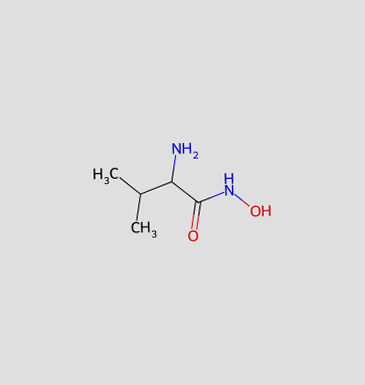 CC(C)C(N)C(=O)NO